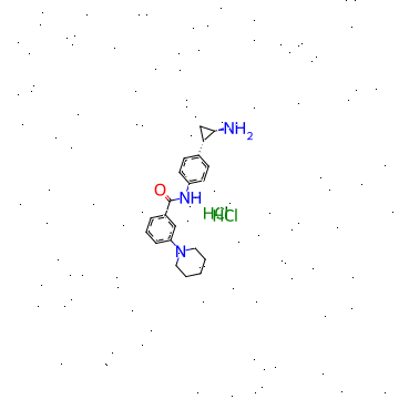 Cl.Cl.N[C@@H]1C[C@H]1c1ccc(NC(=O)c2cccc(N3CCCCC3)c2)cc1